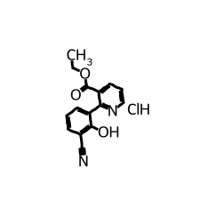 CCOC(=O)c1cccnc1-c1cccc(C#N)c1O.Cl